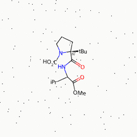 COC(=O)C(NC(=O)[C@@]1(C(C)(C)C)CCCN1C(=O)O)C(C)C